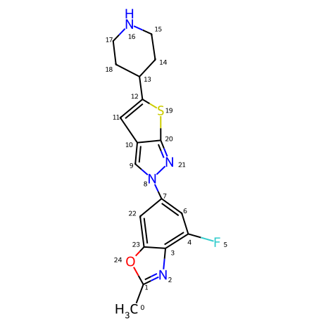 Cc1nc2c(F)cc(-n3cc4cc(C5CCNCC5)sc4n3)cc2o1